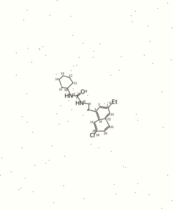 CCc1cc(CCNC(=O)NC2CCCCC2)c2cc(Cl)ccc2c1